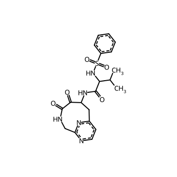 CC(C)C(NS(=O)(=O)c1ccccc1)C(=O)NC1Cc2ccnc(n2)CNC(=O)C1=O